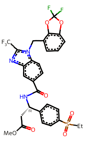 CCS(=O)(=O)c1ccc([C@H](CC(=O)OC)NC(=O)c2ccc3c(c2)nc(C(F)(F)F)n3Cc2cccc3c2OC(F)(F)O3)cc1